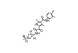 Cc1cc(NC(=O)c2c(C)c(C(=O)C(=O)NC3[C@H]4CN(S(C)(=O)=O)C[C@@H]34)n(C)c2C)ccc1F